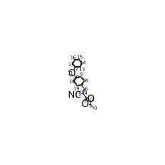 CC1OC(/C(C#N)=C/c2ccc(Oc3ccccc3)cc2)O1